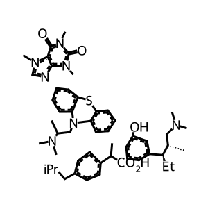 CC(C)Cc1ccc(C(C)C(=O)O)cc1.CC(CN1c2ccccc2Sc2ccccc21)N(C)C.CC[C@@H](c1cccc(O)c1)[C@@H](C)CN(C)C.Cn1c(=O)c2c(ncn2C)n(C)c1=O